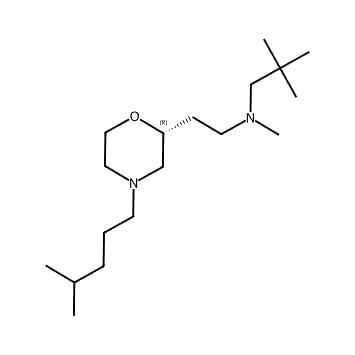 CC(C)CCCN1CCO[C@H](CCN(C)CC(C)(C)C)C1